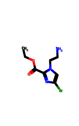 CCOC(=O)c1nc(Br)cn1CCN